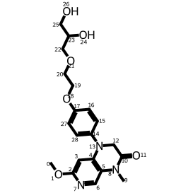 COc1cc2c(cn1)N(C)C(=O)CN2c1ccc(OCCOCC(O)CO)cc1